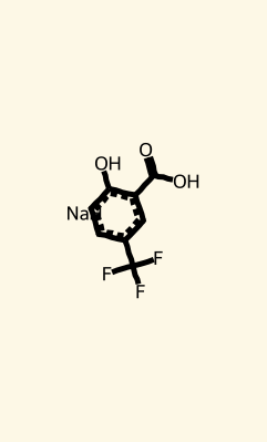 O=C(O)c1cc(C(F)(F)F)ccc1O.[NaH]